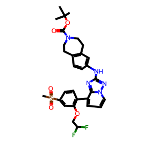 CC(C)(C)OC(=O)N1CCc2ccc(Nc3nc4c(-c5ccc(S(C)(=O)=O)cc5OCC(F)F)cccn4n3)cc2CC1